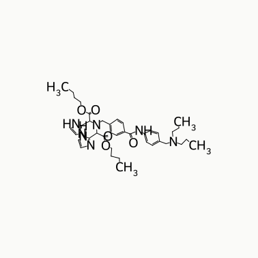 CCCCOC(=O)C(c1ncc[nH]1)N(Cc1ccc(C(=O)Nc2ccc(CN(CCC)CCC)cc2)cc1)C(C(=O)OCCCC)c1ncc[nH]1